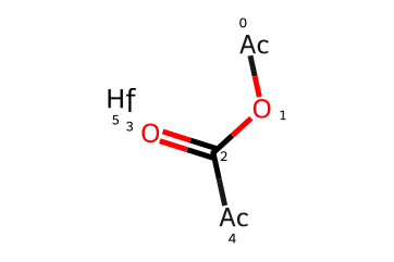 CC(=O)OC(=O)C(C)=O.[Hf]